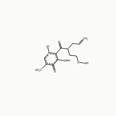 C=CCN(CCOCCC)C(=O)c1c(OC)c(=O)c(C(=O)O)cn1CC